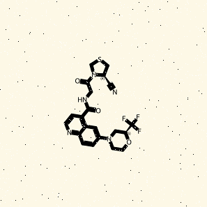 N#C[C@@H]1CSCN1C(=O)CNC(=O)c1ccnc2ccc(N3CCO[C@H](C(F)(F)F)C3)cc12